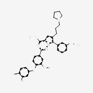 COc1cccc(-c2c(CCCN3CCCC3)cc3c(N)nc(-c4ccc(Oc5ccc(Cl)c(Cl)c5)c(OC)c4)nn23)c1